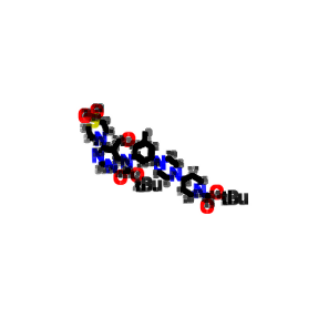 Cc1cc(N2CCN(C3CCN(C(=O)OC(C)(C)C)CC3)CC2)cc2c1OCc1c(N3CCS(=O)(=O)CC3)ncnc1N2C(=O)OC(C)(C)C